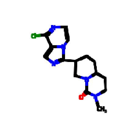 CN1CCC2CCC(c3ncc4c(Cl)nccn34)CN2C1=O